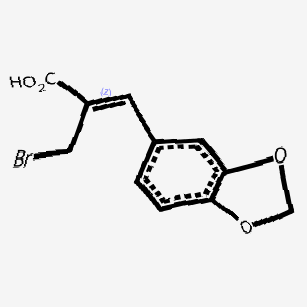 O=C(O)/C(=C/c1ccc2c(c1)OCO2)CBr